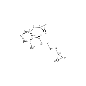 Brc1cccc(CC2CO2)c1OCCCCC1CO1